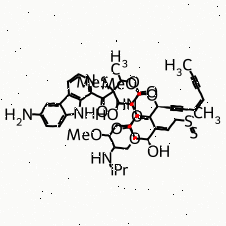 CC#C/C=C\C#C[C@H](OC1OC(C)C(SC)(C(=O)c2nccc3c2[nH]c2ccc(N)cc23)C(O)C1OC1CC(OC)C(NC(C)C)CO1)C1=C(NC(=O)OC)C(=O)C[C@H](O)/C1=C/CS(C)=S